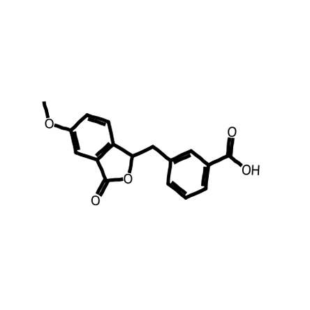 COc1ccc2c(c1)C(=O)OC2Cc1cccc(C(=O)O)c1